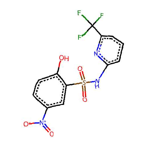 O=[N+]([O-])c1ccc(O)c(S(=O)(=O)Nc2cccc(C(F)(F)F)n2)c1